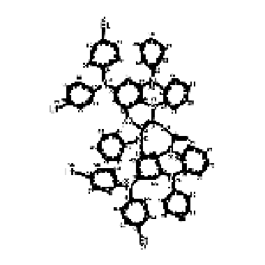 C=C1SC2=C(Oc3cc(N(c4ccc(CC)cc4)c4ccc(CC)cc4)cc4c3B2c2ccccc2N4c2ccccc2)N(c2ccccc2)c2cc(N(c3ccc(CC)cc3)c3ccc(CC)cc3)cc3c2B1c1ccccc1N3c1ccccc1